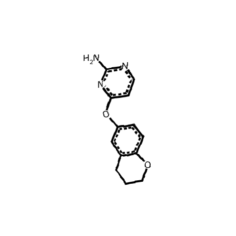 Nc1nccc(Oc2ccc3c(c2)CCCO3)n1